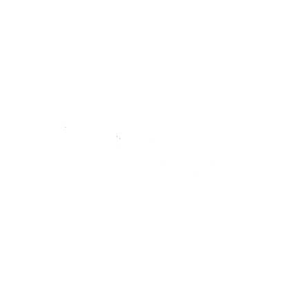 CCOC(=O)CCNCCCCCc1ccccc1